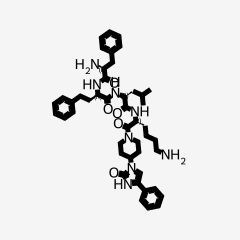 CC(C)C[C@@H](NC(=O)[C@@H](CCc1ccccc1)NC(=O)[C@H](N)Cc1ccccc1)C(=O)N[C@H](CCCCN)C(=O)N1CCC(n2cc(-c3ccccc3)[nH]c2=O)CC1